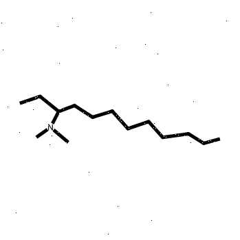 CCCCCCCCCC(CC)N(C)C